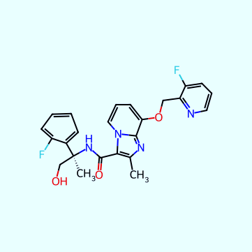 Cc1nc2c(OCc3ncccc3F)cccn2c1C(=O)N[C@@](C)(CO)c1ccccc1F